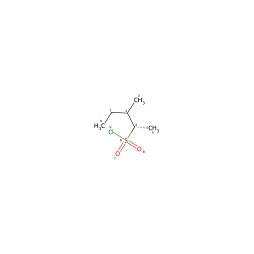 CCC(C)[C@H](C)S(=O)(=O)Cl